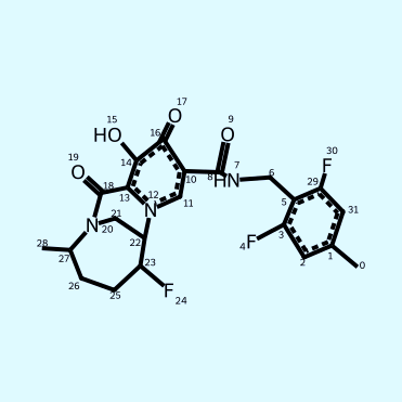 Cc1cc(F)c(CNC(=O)c2cn3c(c(O)c2=O)C(=O)N2CC3C(F)CCC2C)c(F)c1